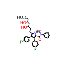 CC(C)n1c(CC[C@@H](O)C[C@@H](O)CC(=O)O)c(-c2ccc(F)cc2)c(-c2ccc(F)cc2)c1C(=O)N(O)c1ccccc1